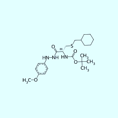 COc1ccc(NNC(=O)[C@H](CSCC2CCCCC2)NC(=O)OC(C)(C)C)cc1